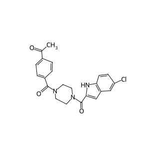 CC(=O)c1ccc(C(=O)N2CCN(C(=O)c3cc4cc(Cl)ccc4[nH]3)CC2)cc1